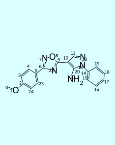 COc1ccc(-c2noc(-c3cnn(-c4ccccc4)c3N)n2)cc1